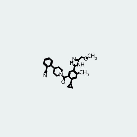 COCc1nnc(-c2cc(C(=O)N3CCC(c4ccccc4C#N)CC3)c(C3CC3)cc2C)[nH]1